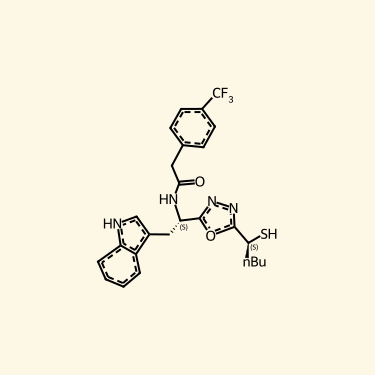 CCCC[C@H](S)c1nnc([C@H](Cc2c[nH]c3ccccc23)NC(=O)Cc2ccc(C(F)(F)F)cc2)o1